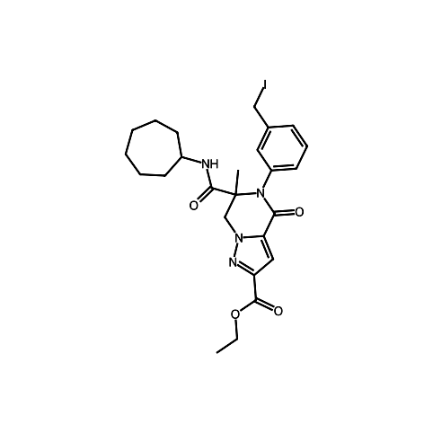 CCOC(=O)c1cc2n(n1)CC(C)(C(=O)NC1CCCCCC1)N(c1cccc(CI)c1)C2=O